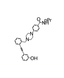 CCCNC(=O)c1ccc(N2CCN(Cc3ccccc3C#Cc3cccc(O)c3)CC2)cc1